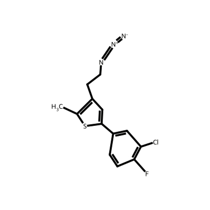 Cc1sc(-c2ccc(F)c(Cl)c2)cc1CCN=[N+]=[N-]